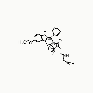 C#CCNCCN1C(=O)N2[C@H](C3C=CC=CC3)c3[nH]c4ccc(OCC)cc4c3CC2(C)C1=O